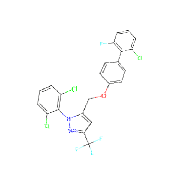 Fc1cccc(Cl)c1-c1ccc(OCc2cc(C(F)(F)F)nn2-c2c(Cl)cccc2Cl)cc1